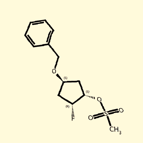 CS(=O)(=O)O[C@H]1C[C@H](OCc2ccccc2)C[C@H]1F